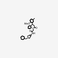 COc1ccc(C)cc1C(CC(=O)OCC(=O)NC1C2CN(Cc3ccccc3)CC21)c1ccccc1